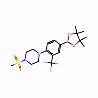 CC1(C)OB(c2ccc(N3CCN(S(C)(=O)=O)CC3)c(C(F)(F)F)c2)OC1(C)C